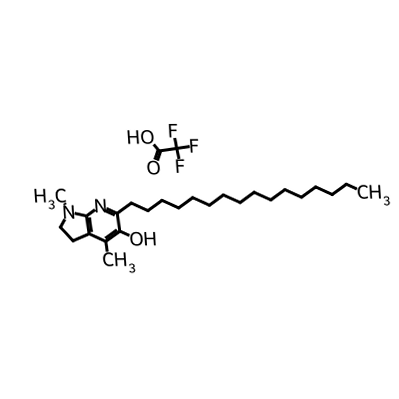 CCCCCCCCCCCCCCCCc1nc2c(c(C)c1O)CCN2C.O=C(O)C(F)(F)F